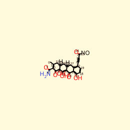 CC1=C(C(N)=O)C(=O)[C@@]2(O)C(O)=C3C(=O)c4c(O)ccc(C#CC(=O)N=O)c4C[C@H]3C[C@H]2C1